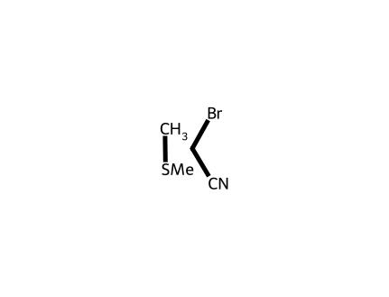 CSC.N#CCBr